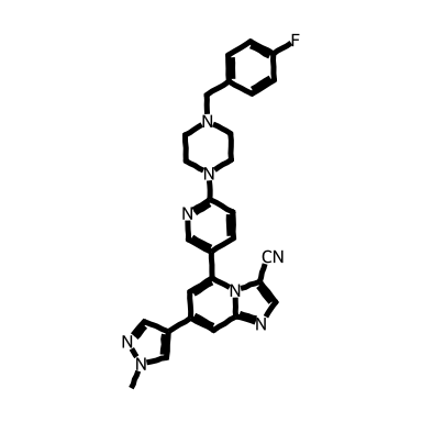 Cn1cc(-c2cc(-c3ccc(N4CCN(Cc5ccc(F)cc5)CC4)nc3)n3c(C#N)cnc3c2)cn1